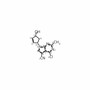 Cc1nc(Cl)c2c(C#N)cn([C@H]3C=C[C@@H](O)C3)c2n1